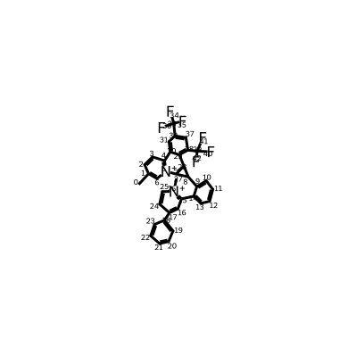 Cc1ccc2[n+](c1)C1C(c3ccccc3-c3cc(-c4ccccc4)cc[n+]3C)C1c1c-2cc(C(F)(F)F)cc1C(F)(F)F